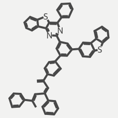 C=C(/C=C(\C=C(/C)c1ccccc1)c1ccccc1)c1ccc(-c2cc(-c3ccc4sc5ccccc5c4c3)cc(-c3nc(-c4ccccc4)c4sc5ccccc5c4n3)c2)cc1